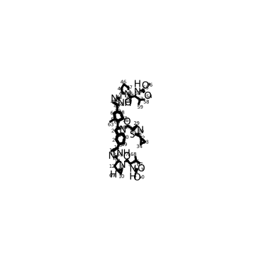 COC(=O)NC(C(=O)N1C2C[C@@H]2C[C@H]1c1ncc(-c2ccc3c(c2)cc2n3C(c3cnc(C4CC4)s3)Oc3cc(-c4cnc([C@@H]5CCCN5C(=O)[C@@H](NC(=O)OC)C(C)C)[nH]4)cc(C)c3-2)[nH]1)C(C)C